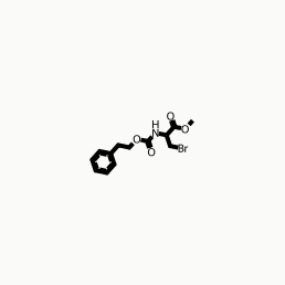 COC(=O)C(CBr)NC(=O)OCCc1ccccc1